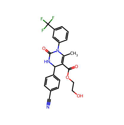 CC1=C(C(=O)OCCO)C(c2ccc(C#N)cc2)NC(=O)N1c1cccc(C(F)(F)F)c1